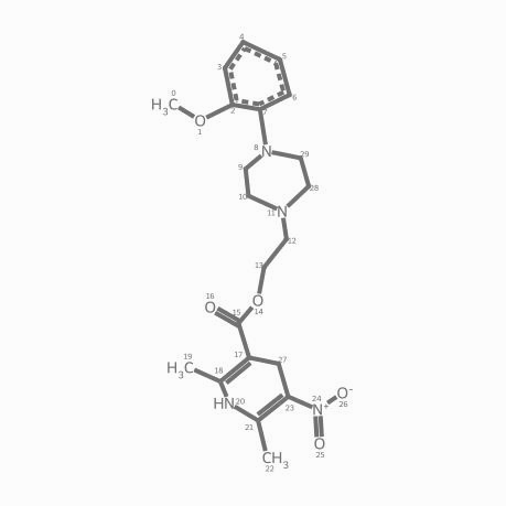 COc1ccccc1N1CCN(CCOC(=O)C2=C(C)NC(C)=C([N+](=O)[O-])C2)CC1